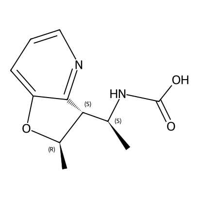 C[C@H](NC(=O)O)[C@H]1c2ncccc2O[C@@H]1C